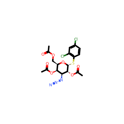 CC(=O)OC[C@H]1O[C@H](Sc2ccc(Cl)cc2Cl)[C@H](OC(C)=O)[C@@H](N=[N+]=[N-])[C@H]1OC(C)=O